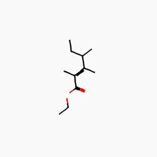 CCOC(=O)/C(C)=C(\C)C(C)CC